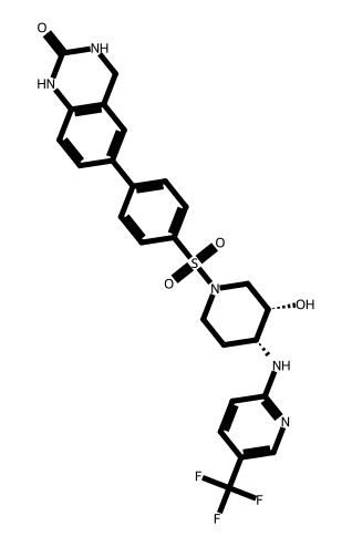 O=C1NCc2cc(-c3ccc(S(=O)(=O)N4CC[C@@H](Nc5ccc(C(F)(F)F)cn5)[C@@H](O)C4)cc3)ccc2N1